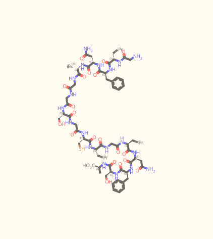 CC[C@H](C)[C@H](NC(=O)[C@H](CC(N)=O)NC(=O)[C@H](Cc1ccccc1)NC(=O)[C@H](CC(C)C)NC(=O)CN)C(=O)NCC(=O)NCC(=O)N[C@@H](CO)C(=O)NCC(=O)N[C@@H](CS)C(=O)N[C@@H](CC(C)C)C(=O)NCC(=O)N[C@@H](CC(C)C)C(=O)N[C@@H](CC(N)=O)C(=O)N[C@@H](Cc1ccccc1)C(=O)N[C@@H](CO)C(=O)N[C@@H](C)C(=O)O